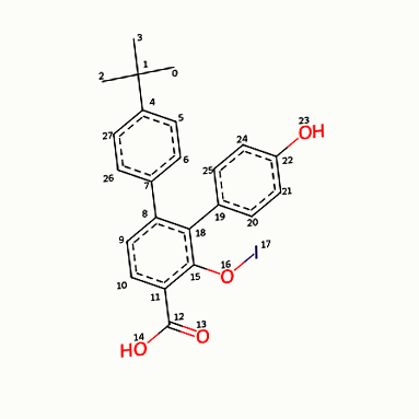 CC(C)(C)c1ccc(-c2ccc(C(=O)O)c(OI)c2-c2ccc(O)cc2)cc1